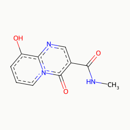 CNC(=O)c1cnc2c(O)cccn2c1=O